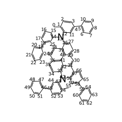 Cc1ccc(-c2ccccc2)cc1N(c1cccc(-c2ccccc2)c1)c1ccc2cc3c4c(ccc5ccc1c2c54)N(c1cc(-c2ccccc2)ccc1C)c1cc(-c2ccccc2)ccc1-3